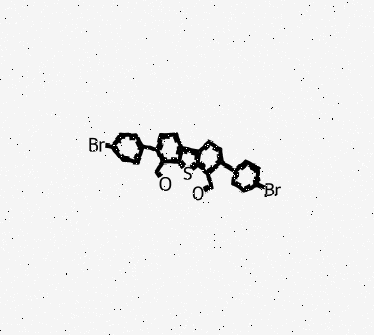 O=Cc1c(-c2ccc(Br)cc2)ccc2c1sc1c(C=O)c(-c3ccc(Br)cc3)ccc12